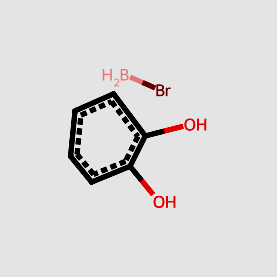 BBr.Oc1ccccc1O